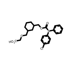 O=C(O)COCC1CCCC(COC(=O)N(c2ccccc2)c2ccc(Cl)cc2)C1